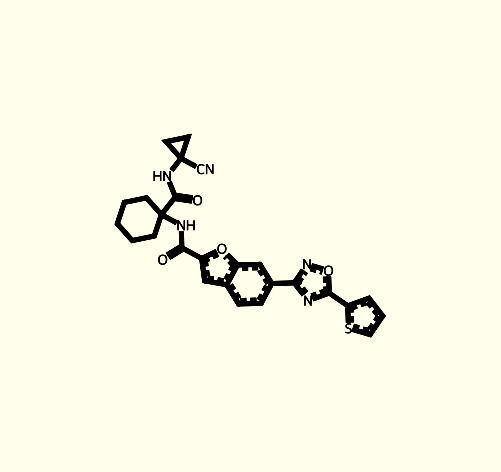 N#CC1(NC(=O)C2(NC(=O)c3cc4ccc(-c5noc(-c6cccs6)n5)cc4o3)CCCCC2)CC1